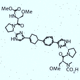 COC[C@H](NC(=O)OC)C(=O)N1CCC[C@H]1c1nc(C2=CCC(c3ccc(-c4c[nH]c([C@@H]5CCCN5C(=O)[C@H](COC)N(C)C(=O)O)n4)cc3)CC2)c[nH]1